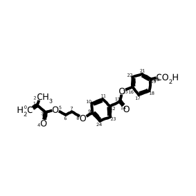 C=C(C)C(=O)OCCOc1ccc(C(=O)Oc2ccc(C(=O)O)cc2)cc1